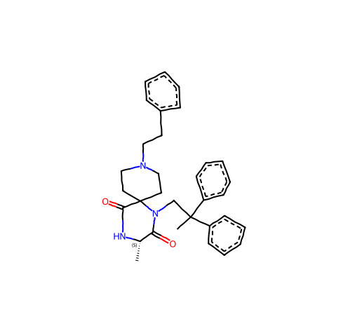 C[C@@H]1NC(=O)C2(CCN(CCc3ccccc3)CC2)N(CC(C)(c2ccccc2)c2ccccc2)C1=O